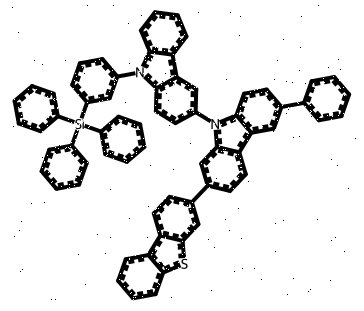 c1ccc(-c2ccc3c(c2)c2ccc(-c4ccc5c(c4)sc4ccccc45)cc2n3-c2ccc3c(c2)c2ccccc2n3-c2cccc([Si](c3ccccc3)(c3ccccc3)c3ccccc3)c2)cc1